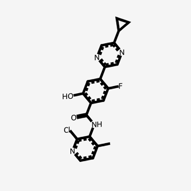 Cc1ccnc(Cl)c1NC(=O)c1cc(F)c(-c2cnc(C3CC3)cn2)cc1O